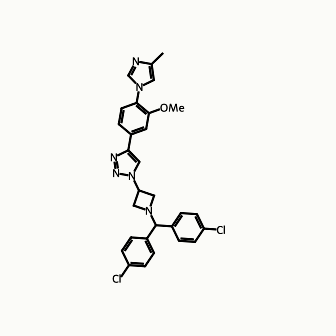 COc1cc(-c2cn(C3CN(C(c4ccc(Cl)cc4)c4ccc(Cl)cc4)C3)nn2)ccc1-n1cnc(C)c1